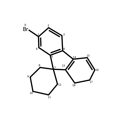 Brc1ccc2c(c1)C1(CCCCC1)C1=C2C=CCC1